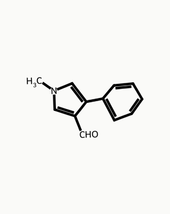 Cn1cc(C=O)c(-c2ccccc2)c1